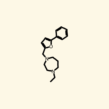 CCN1CCCN(Cc2ccc(-c3ccccc3)o2)CC1